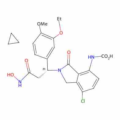 C1CC1.CCOc1cc([C@@H](CC(=O)NO)N2Cc3c(Cl)ccc(NC(=O)O)c3C2=O)ccc1OC